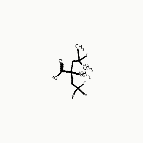 CC(C)(F)CC(N)(CC(F)(F)F)C(=O)O